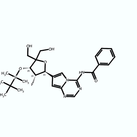 CC(C)(C)[Si](C)(C)O[C@H]1[C@@H](F)[C@H](c2cc3ncnc(NC(=O)c4ccccc4)n3c2)OC1(CO)CO